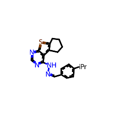 CC(C)c1ccc(/C=N\Nc2ncnc3sc4c(c23)CCCC4)cc1